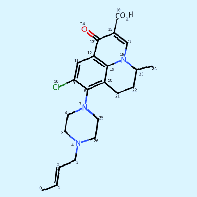 C/C=C/CN1CCN(c2c(Cl)cc3c(=O)c(C(=O)O)cn4c3c2CCC4C)CC1